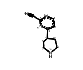 N#Cc1nccc(C2CCNCC2)n1